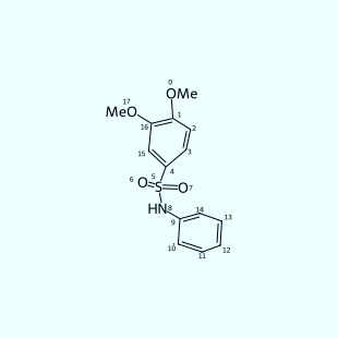 COc1ccc(S(=O)(=O)Nc2[c]cccc2)cc1OC